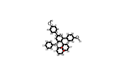 COc1ccc(-c2cc(N(c3ccccc3)c3ccccc3)c(-c3ccccc3)c(-c3ccc(OC)cc3)n2)cc1